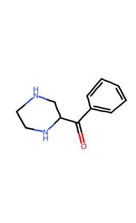 O=C(c1ccccc1)C1CNCCN1